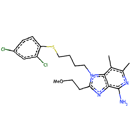 COCCc1nc2c(N)nc(C)c(C)c2n1CCCCSc1ccc(Cl)cc1Cl